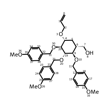 C=CCO[C@@H]1C[C@H](CO)[C@@H](OCc2ccc(OC)cc2)[C@H](OCc2ccc(OC)cc2)[C@H]1OCc1ccc(OC)cc1